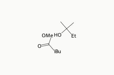 CCC(C)(C)O.CCC(C)C(=O)OC